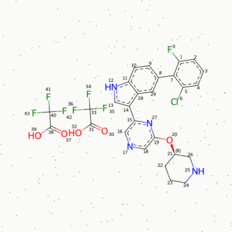 Fc1cccc(Cl)c1-c1ccc2[nH]cc(-c3cncc(O[C@@H]4CCCNC4)n3)c2c1.O=C(O)C(F)(F)F.O=C(O)C(F)(F)F